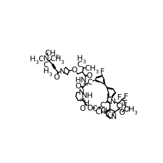 CO[C@@H](C)c1ncccc1-c1c2c3cc(ccc3n1CC(F)(F)F)-c1cc(F)cc(c1)C[C@H](NC(=O)C(COC1CN(C(=O)C#CC(C)(C)N(C)C)C1)C(C)C)C(=O)N1CCC[C@H](N1)C(=O)OCC(C)(C)C2